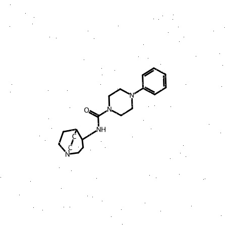 O=C(NC1CCN2CCC1CC2)N1CCN(c2ccccc2)CC1